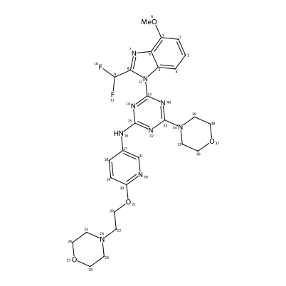 COc1cccc2c1nc(C(F)F)n2-c1nc(Nc2ccc(OCCN3CCOCC3)nc2)nc(N2CCOCC2)n1